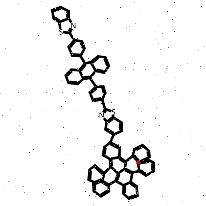 c1ccc(-c2c3ccccc3c(-c3ccccc3)c3c(-c4ccccc4)c4cc(-c5ccc6sc(-c7ccc(-c8c9ccccc9c(-c9ccc(-c%10nc%11ccccc%11s%10)cc9)c9ccccc89)cc7)nc6c5)ccc4c(-c4ccccc4)c23)cc1